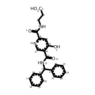 O=C(O)CCNC(=O)c1cc(O)c(C(=O)NC(c2ccccc2)c2ccccc2)cn1